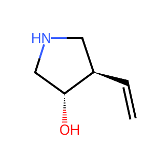 C=C[C@@H]1CNC[C@H]1O